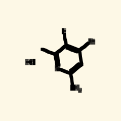 CCc1cc(N)nc(C)c1F.Cl